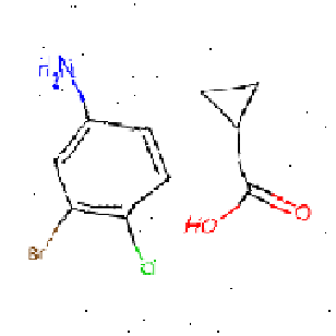 Nc1ccc(Cl)c(Br)c1.O=C(O)C1CC1